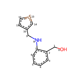 OCc1ccccc1NCc1ccsc1